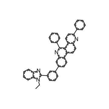 CCn1c(-c2cccc(-c3ccc4c(c3)nc(-c3ccccc3)c3c5ccc(-c6ccccc6)nc5ccc43)c2)nc2ccccc21